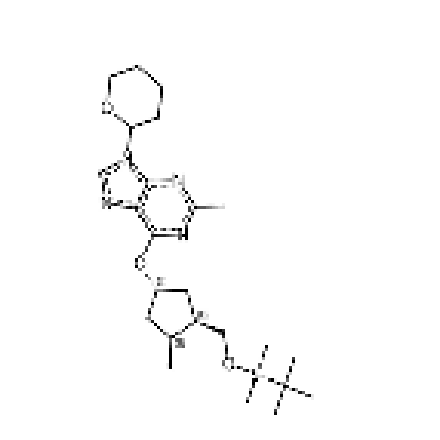 Cc1nc(O[C@@H]2C[C@@H](CO[Si](C)(C)C(C)(C)C)[C@@H](C)C2)c2ncn(C3CCCCO3)c2n1